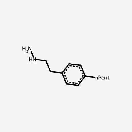 CCCCCc1ccc(CCNN)cc1